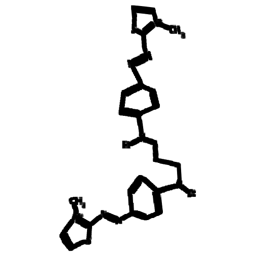 CCN(CCCN(CC)c1ccc(N=Nc2scc[n+]2C)cc1)c1ccc(N=Nc2scc[n+]2C)cc1